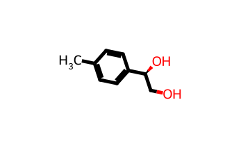 Cc1ccc([C@@H](O)CO)cc1